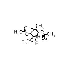 CO[C@@H]1[C@@H](OC(C)=O)O[C@H](C)[C@H](OC(C)=O)[C@]1(C)O